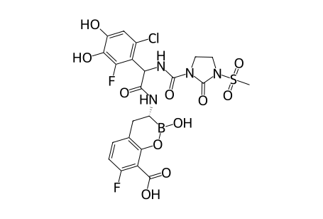 CS(=O)(=O)N1CCN(C(=O)NC(C(=O)N[C@H]2Cc3ccc(F)c(C(=O)O)c3OB2O)c2c(Cl)cc(O)c(O)c2F)C1=O